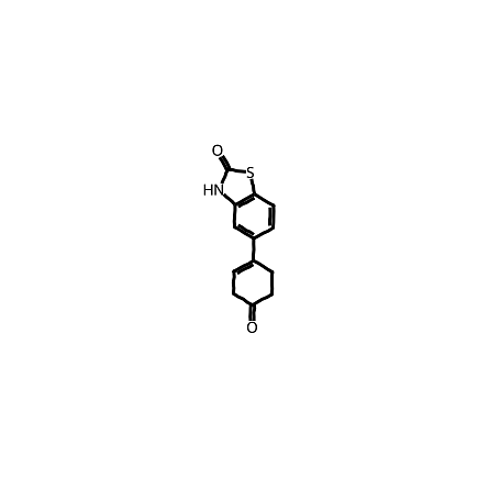 O=C1CC=C(c2ccc3sc(=O)[nH]c3c2)CC1